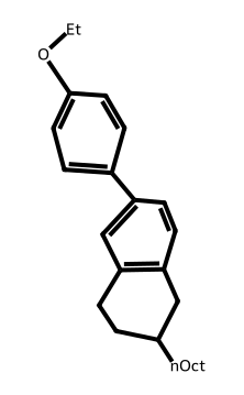 CCCCCCCCC1CCc2cc(-c3ccc(OCC)cc3)ccc2C1